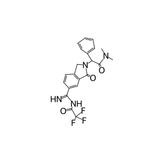 CN(C)C(=O)C(c1ccccc1)N1Cc2ccc(C(=N)NC(=O)C(F)(F)F)cc2C1=O